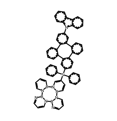 C1=CB2N3C=C([Si](c4ccccc4)(c4ccccc4)c4ccc5c(c4)-c4ccccc4-c4ccc(-n6c7ccccc7c7ccccc76)cc4-c4ccccc4-5)C=CB3N3C=CC=NB3N3C=CC=NB3N2C=C1